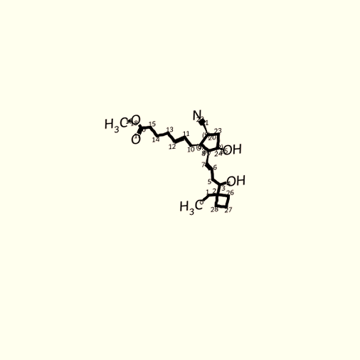 CCC1(C(O)CC=C[C@H]2[C@@H](CC=CCCCC(=O)OC)[C@@H](C#N)C[C@H]2O)CCC1